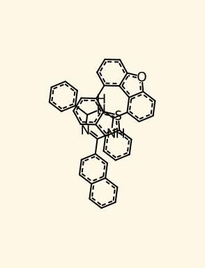 c1ccc(C2N=C(c3ccc4ccccc4c3)NC(c3cccc4oc5cccc(-c6cccc7c6sc6ccccc67)c5c34)N2)cc1